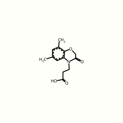 Cc1cc(C)c2c(c1)N(CCC(=O)O)C(=O)CO2